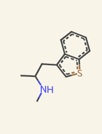 CNC(C)Cc1csc2ccccc12